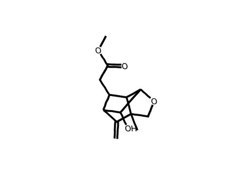 C=C1C2C(O)C3OCC1(C)C3C2CC(=O)OC